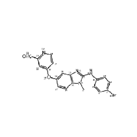 Cn1c(Nc2ccc(Br)cc2)nc2cc(Oc3ccnc(C=O)c3)ccc21